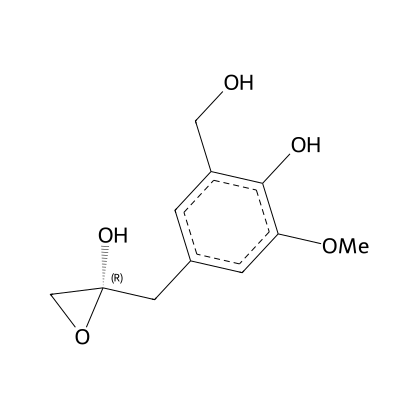 COc1cc(C[C@]2(O)CO2)cc(CO)c1O